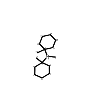 CN(C1(C)CCCCC1)C1(C)CCCCC1